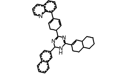 C1=CC(C2=NC(c3ccc4ccccc4c3)NC(C3=CC4CCCCC4CC3)=N2)CC=C1c1cccc2cccnc12